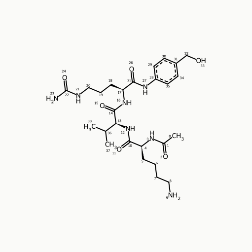 CC(=O)N[C@@H](CCCCN)C(=O)N[C@H](C(=O)N[C@@H](CCCNC(N)=O)C(=O)Nc1ccc(CO)cc1)C(C)C